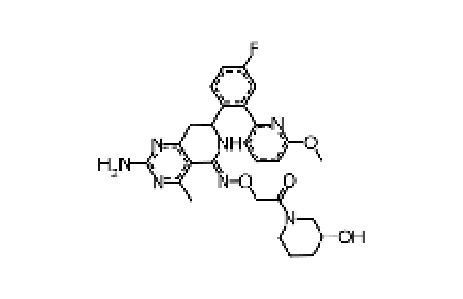 COc1cccc(-c2cc(F)ccc2C2Cc3nc(N)nc(C)c3C(=NOCC(=O)N3CCCC(O)C3)N2)n1